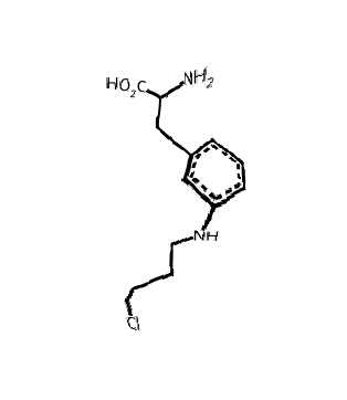 NC(Cc1cccc(NCCCCl)c1)C(=O)O